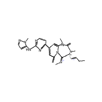 C=C1C=C(c2ccnc(Nc3ccnn3C)n2)C=C2N(C)C(=C)N(C)[C@H](/C=C/CC)/C(=N/C)N12